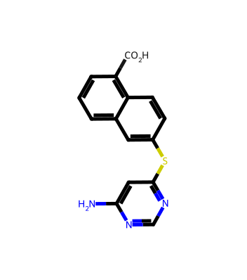 Nc1cc(Sc2ccc3c(C(=O)O)cccc3c2)ncn1